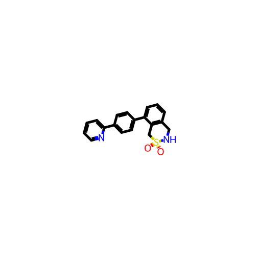 O=S1(=O)Cc2c(cccc2-c2ccc(-c3ccccn3)cc2)CN1